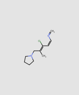 C=N/C=C\C(Cl)=C(/C)CN1CCCC1